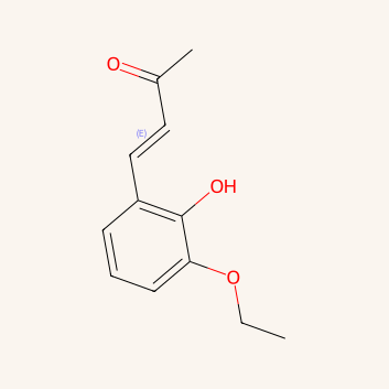 CCOc1cccc(/C=C/C(C)=O)c1O